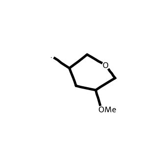 [CH2]C1COCC(OC)C1